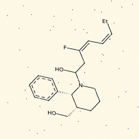 CC/C=C\C=C(\F)CC(O)N1CCC[C@H](CO)[C@@H]1c1ccccc1